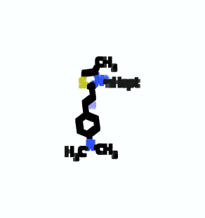 CCCCCCC[n+]1c(C)csc1/C=C/c1ccc(N(C)C)cc1